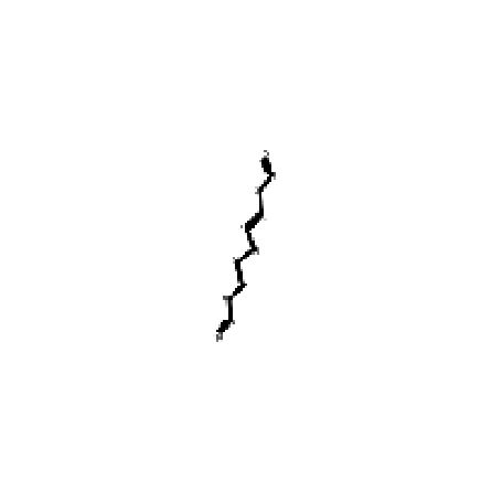 C=CCC=CCCCCC=C